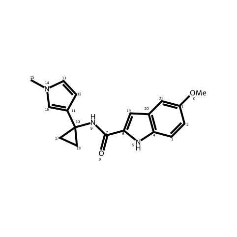 COc1ccc2[nH]c(C(=O)NC3(c4ccn(C)c4)CC3)cc2c1